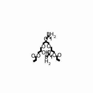 BP(I)OC(COCC(O)COC(=O)C=C)COCC(COC(=O)C=C)OP(B)I